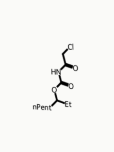 CCCCCC(CC)OC(=O)NC(=O)CCl